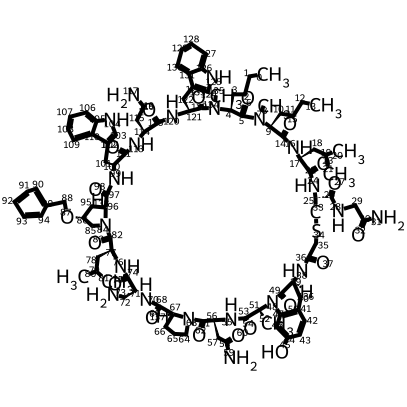 CCCC[C@H]1C(=O)N(C)[C@@H](CCCC)C(=O)N[C@@H](CC(C)C)C(=O)N[C@H](C(=O)NCC(N)=O)CSCC(=O)N[C@H]2Cc3ccc(O)cc3N(C2=O)[C@@H](C)C(=O)N[C@@H](CC(N)=O)C(=O)N2CCC[C@H]2C(=O)N[C@@H](CN)C(=O)N[C@@H](CC(C)C)C(=O)N2C[C@H](OCc3ccccc3)C[C@H]2C(=O)N[C@@H](Cc2c[nH]c3ccccc23)C(=O)N[C@@H](CCN)C(=O)N[C@@H](Cc2c[nH]c3ccccc23)C(=O)N1C